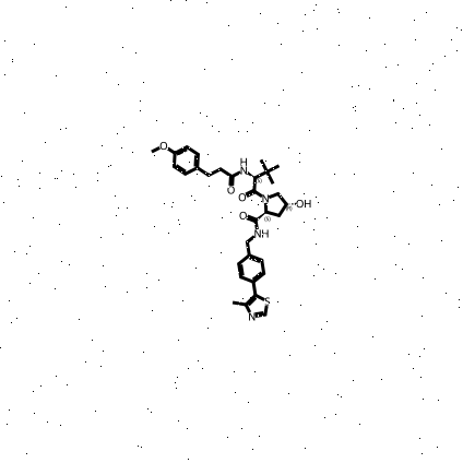 COc1ccc(CCC(=O)N[C@H](C(=O)N2C[C@H](O)C[C@H]2C(=O)NCc2ccc(-c3scnc3C)cc2)C(C)(C)C)cc1